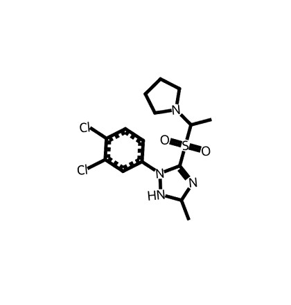 CC1N=C(S(=O)(=O)C(C)N2CCCC2)N(c2ccc(Cl)c(Cl)c2)N1